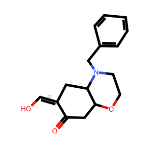 O=C1CC2OCCN(Cc3ccccc3)C2C/C1=C/O